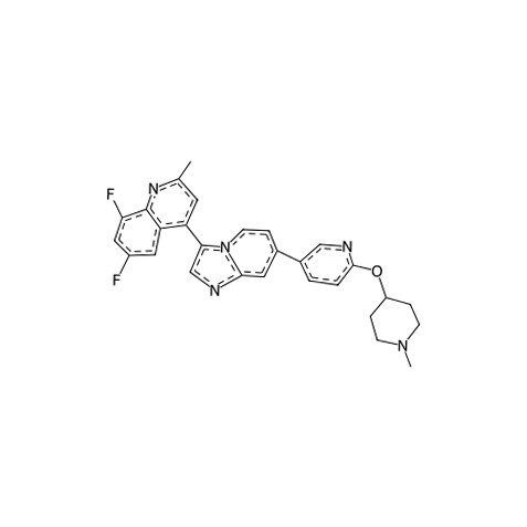 Cc1cc(-c2cnc3cc(-c4ccc(OC5CCN(C)CC5)nc4)ccn23)c2cc(F)cc(F)c2n1